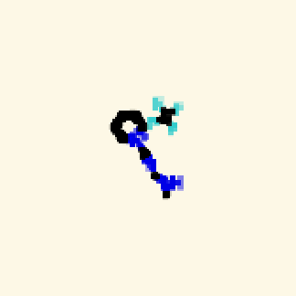 CNC.F[B-](F)(F)F.N#C[n+]1ccccc1